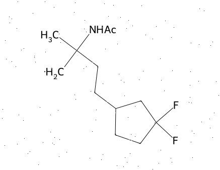 [CH2]C(C)(CCC1CCC(F)(F)C1)NC(C)=O